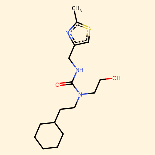 Cc1nc(CNC(=O)N(CCO)CCC2CCCCC2)cs1